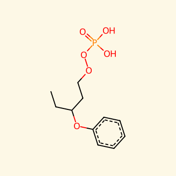 CCC(CCOOP(=O)(O)O)Oc1ccccc1